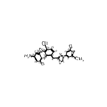 Cc1cc(N2COC(Cc3ccc(Cl)c(Oc4cc(N)cc(Cl)c4)c3F)=N2)cc(Cl)n1